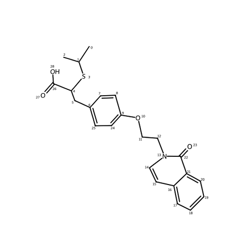 CC(C)SC(Cc1ccc(OCCn2ccc3ccccc3c2=O)cc1)C(=O)O